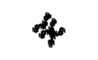 COc1ncc(-c2ccc3nnn(Cc4ccc5ncccc5c4)c3n2)cn1.c1cnc2ccc(Cn3nnc4ccc(-c5ccc6c(c5)CCO6)nc43)cc2c1.c1cnc2ccc(Cn3nnc4ccc(-c5ccc6c(c5)OCO6)nc43)cc2c1